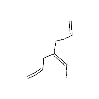 C=CCC(=[C]C)CC=C